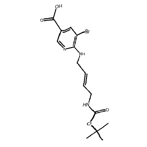 CC(C)(C)OC(=O)NC/C=C/CNc1ncc(C(=O)O)cc1Br